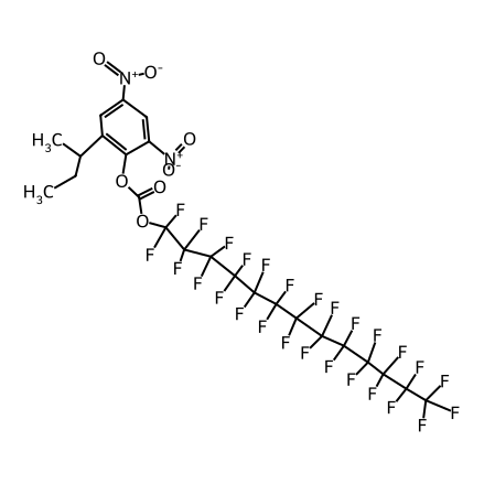 CCC(C)c1cc([N+](=O)[O-])cc([N+](=O)[O-])c1OC(=O)OC(F)(F)C(F)(F)C(F)(F)C(F)(F)C(F)(F)C(F)(F)C(F)(F)C(F)(F)C(F)(F)C(F)(F)C(F)(F)C(F)(F)C(F)(F)F